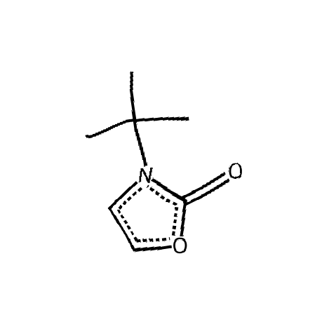 CC(C)(C)n1ccoc1=O